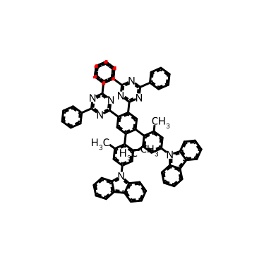 Cc1cc(-n2c3ccccc3c3ccccc32)cc(C)c1-c1cc(-c2nc(-c3ccccc3)nc(-c3ccccc3)n2)c(-c2nc(-c3ccccc3)nc(-c3ccccc3)n2)cc1-c1c(C)cc(-n2c3ccccc3c3ccccc32)cc1C